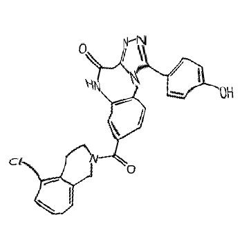 O=C(c1ccc2c(c1)[nH]c(=O)c1nnc(-c3ccc(O)cc3)n12)N1CCc2c(Cl)cccc2C1